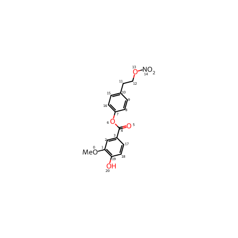 COc1cc(C(=O)Oc2ccc(CCO[N+](=O)[O-])cc2)ccc1O